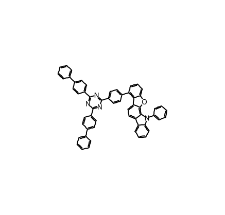 c1ccc(-c2ccc(-c3nc(-c4ccc(-c5ccccc5)cc4)nc(-c4ccc(-c5cccc6oc7c(ccc8c9ccccc9n(-c9ccccc9)c87)c56)cc4)n3)cc2)cc1